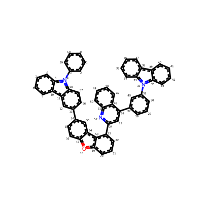 c1ccc(-n2c3ccccc3c3cc(-c4ccc5oc6cccc(-c7cc(-c8cccc(-n9c%10ccccc%10c%10ccccc%109)c8)c8ccccc8n7)c6c5c4)ccc32)cc1